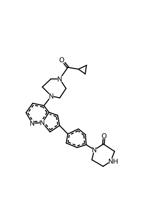 O=C(C1CC1)N1CCN(c2ccnn3cc(-c4ccc(N5CCNCC5=O)cc4)cc23)CC1